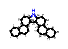 c1ccc2c(c1)ccc1c2ccc2[nH]c3ccc4c5ccccc5ccc4c3c21